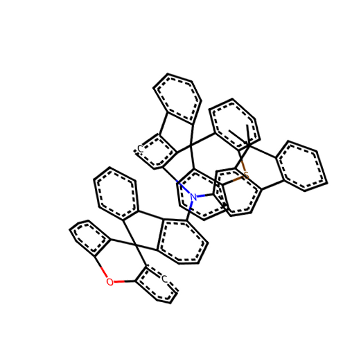 CC1(C)c2ccccc2-c2ccc(N(c3cccc4c3-c3ccccc3C43c4ccccc4Oc4ccccc43)c3cccc4c3C3(c5ccccc5Sc5ccccc53)c3ccccc3-4)cc21